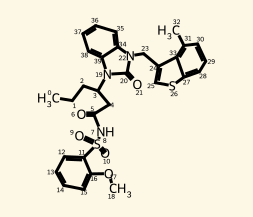 CCCC(CC(=O)NS(=O)(=O)c1ccccc1OC)n1c(=O)n(Cc2csc3cccc(C)c23)c2ccccc21